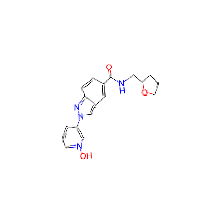 O=C(NCC1CCCO1)c1ccc2nn(-c3ccc[n+](O)c3)cc2c1